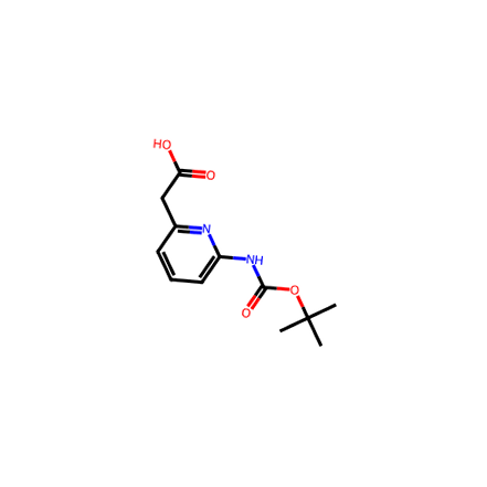 CC(C)(C)OC(=O)Nc1cccc(CC(=O)O)n1